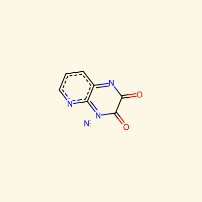 O=C1N=c2cccnc2=NC1=O.[N]